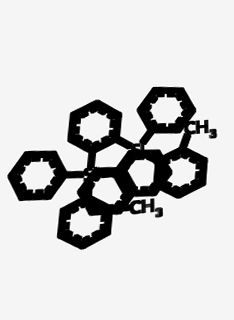 Cc1ccccc1[Si](c1ccccc1)(c1ccccc1)c1ccccc1[Si](c1ccccc1)(c1ccccc1)c1ccccc1C